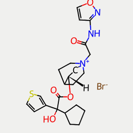 O=C(C[N+]12CCC(CC1)[C@@H](OC(=O)C(O)(c1ccsc1)C1CCCC1)C2)Nc1ccon1.[Br-]